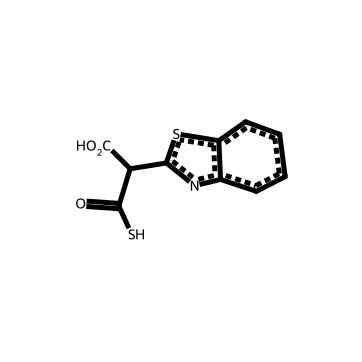 O=C(O)C(C(=O)S)c1nc2ccccc2s1